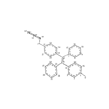 Cc1ccc(/C(=C(\c2ccccc2)c2ccc(CN=[N+]=[N-])cc2)c2ccccc2)cc1